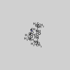 C=C(C)C(=O)NCCCNCc1c2ccccc2c(CNCCCNC(=O)C(=C)C)c2cc(C3=C4C=C/C(=N\C)C=C4P(C)(=O)c4cc(N(C)C)ccc43)ccc12